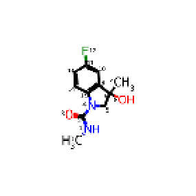 CNC(=O)N1C[C@@](C)(O)c2cc(F)ccc21